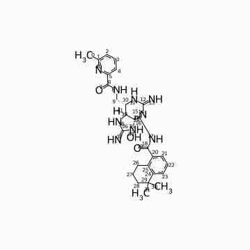 Cc1cccc(C(=O)NC[C@@H]2NC(=N)N3CC(NC(=O)c4cccc5c4CCCC5(C)C)[C@@H](O)[C@@]34NC(=N)N[C@@H]24)n1